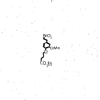 CCOC(=O)CCCOc1ccc(/C=C/[N+](=O)[O-])cc1OC